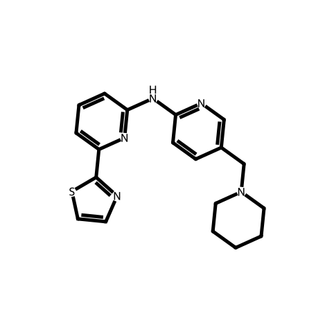 c1cc(Nc2ccc(CN3CCCCC3)cn2)nc(-c2nccs2)c1